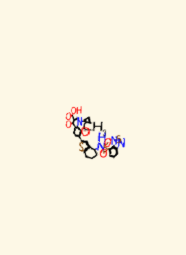 COc1c(-c2cc3c(s2)CCCC3NS(=O)(=O)c2cccc3nsnc23)ccc2c(=O)c(C(=O)O)cn(C3CC3)c12